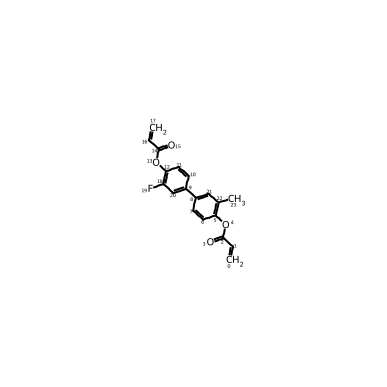 C=CC(=O)Oc1ccc(-c2ccc(OC(=O)C=C)c(F)c2)cc1C